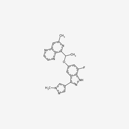 Cc1cc2nccnc2c(C(C)Oc2cc(F)c3[nH]nc(-c4cnn(C)c4)c3c2)n1